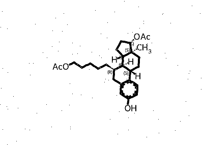 CC(=O)OCCCCC[C@@H]1Cc2cc(O)ccc2[C@H]2CC[C@]3(C)[C@@H](OC(C)=O)CC[C@H]3[C@H]12